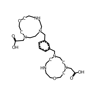 O=C(O)CN1CCOCCNCCN(Cc2cccc(CN3CCNCCOCCN(CC(=O)O)CC3)c2)CC1